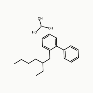 CCCCC(CC)Cc1ccccc1-c1ccccc1.OP(O)O